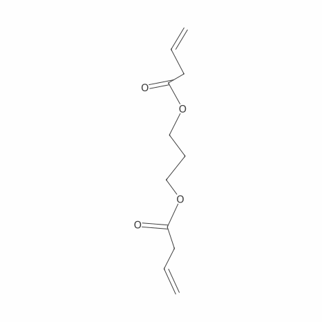 C=CCC(=O)OCCCOC(=O)CC=C